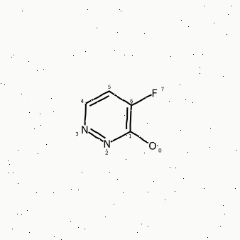 [O]c1nnccc1F